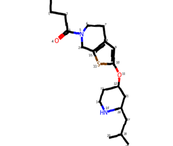 CCCC(=O)N1CCc2cc(OC3CCNC(CC(C)C)C3)sc2C1